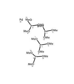 COP(OC)OC.COP(OC)OC.COP(OC)OC.COP(OC)OC.[Pd]